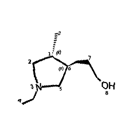 C[C@H]1CN(C)C[C@@H]1CO